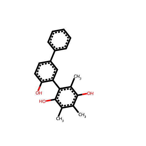 Cc1c(C)c(O)c(-c2cc(-c3ccccc3)ccc2O)c(C)c1O